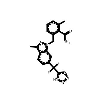 Cc1cccc(Cn2nc(C)c3ccc(C(F)(F)c4nnn[nH]4)cc32)c1C(N)=O